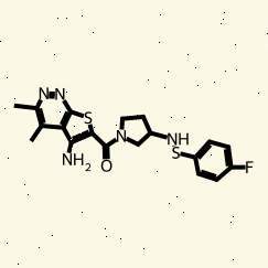 Cc1nnc2sc(C(=O)N3CCC(NSc4ccc(F)cc4)C3)c(N)c2c1C